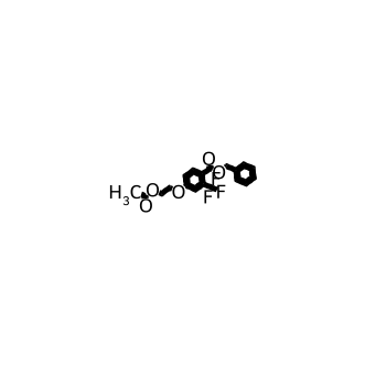 CC(=O)OCCOc1ccc(C(=O)OCc2ccccc2)c(C(F)(F)F)c1